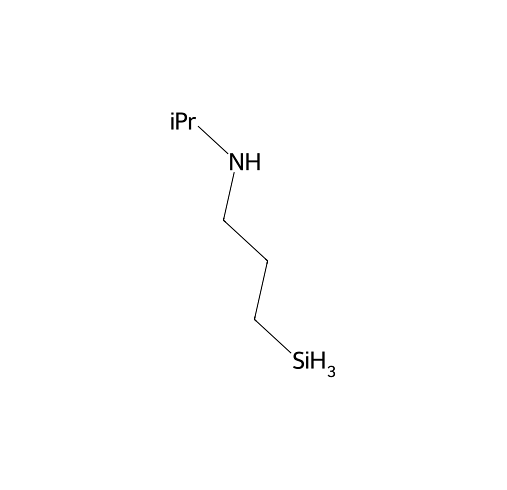 CC(C)NCCC[SiH3]